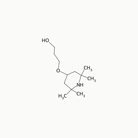 CC1(C)CC(OCCCO)CC(C)(C)N1